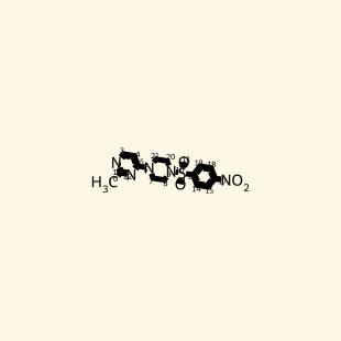 Cc1nccc(N2CCN(S(=O)(=O)c3ccc([N+](=O)[O-])cc3)CC2)n1